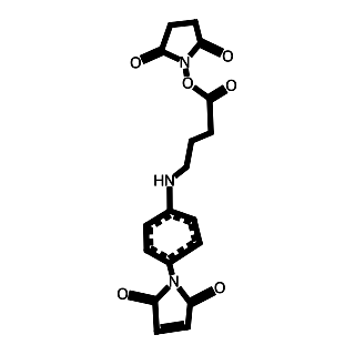 O=C(CCCNc1ccc(N2C(=O)C=CC2=O)cc1)ON1C(=O)CCC1=O